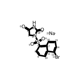 O=C1CN(S(=O)(=O)c2cccc3c(Br)cccc23)C(=O)N1.[Na]